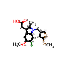 COc1cc2c(CC(=O)O)c(C)n(Cc3csc(SC)c3)c2cc1F